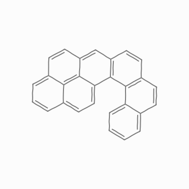 c1ccc2c(c1)ccc1ccc3cc4ccc5cccc6ccc(c4c56)c3c12